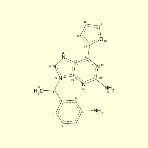 CC(c1cccc(N)c1)n1nnc2c(-c3ccco3)nc(N)nc21